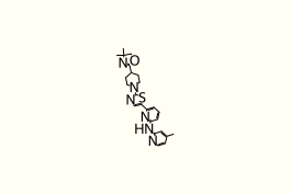 Cc1ccnc(Nc2cccc(-c3cnc(N4CCC(C5=NC(C)(C)CO5)CC4)s3)n2)c1